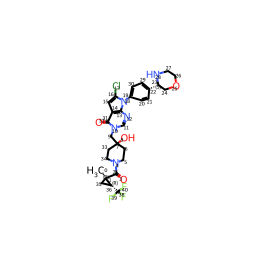 C[C@@]1(C(=O)N2CCC(O)(Cn3cnc4c(cc(Cl)n4-c4ccc([C@H]5COCCN5)cc4)c3=O)CC2)C[C@H]1C(F)(F)F